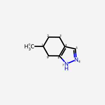 CC1CCc2cn[nH]c2C1